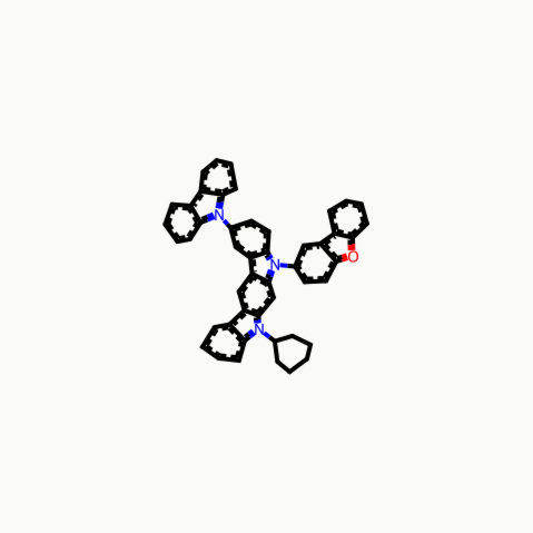 c1ccc2c(c1)oc1ccc(-n3c4ccc(-n5c6ccccc6c6ccccc65)cc4c4cc5c6ccccc6n(C6CCCCC6)c5cc43)cc12